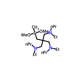 CCCN(CC)CC(CN(CC)CCC)(CN(CC)CCC)C[Si](C)(OC)OC